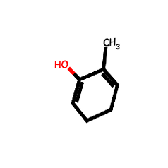 CC1=CCCC=C1O